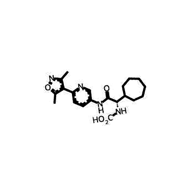 Cc1noc(C)c1-c1ccc(NC(=O)[C@@H](NC(=O)O)C2CCCCCC2)cn1